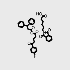 O=C(CCCC(=O)c1ccc(F)cc1)OC(=O)CC(c1ccccc1)c1ccccc1.O=C(O)CCCCCN1C(=O)c2ccccc2C1=O